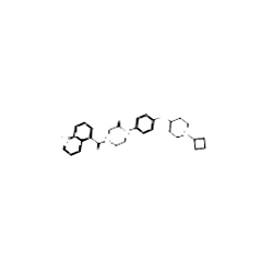 O=C(c1cccc2ncccc12)N1CCN(c2ccc(OC3CCN(C4CCC4)CC3)cc2)C(=O)C1